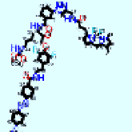 CC1=CC(C)=[N+]2C1=Cc1ccc(CCC(=O)NCc3cn(-c4cccc(C(=O)N[C@@H](CCCCNC(=O)OC(C)(C)C)C(=O)COc5c(F)cc(CCNC(=O)c6ccc(/N=N/c7ccc(N(C)C)cc7)cc6)cc5F)c4)nn3)n1[B-]2(F)F